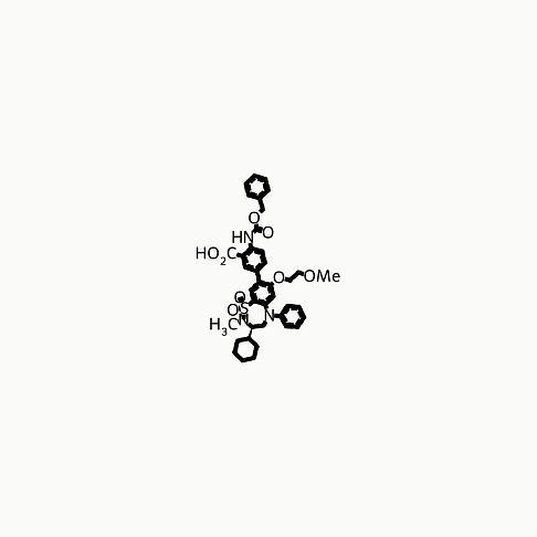 COCCOc1cc2c(cc1-c1ccc(NC(=O)OCc3ccccc3)c(C(=O)O)c1)S(=O)(=O)N(C)[C@H](C1CCCCC1)CN2c1ccccc1